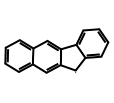 [CH]1c2ccccc2-c2cc3ccccc3cc21